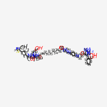 Cc1ncsc1-c1ccc([C@H](C)NC(=O)[C@@H]2C[C@@H](O)CN2C(=O)[C@@H](NC(=O)CCCCCCCCCCC(=O)N2CCN(c3ccc(N4CCCC(Oc5cc(-c6ccccc6O)nnc5N)C4)cc3)CC2)C(C)(C)C)cc1